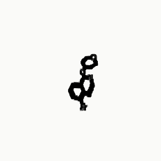 Brc1cccc2c(OC3CCOCC3)nccc12